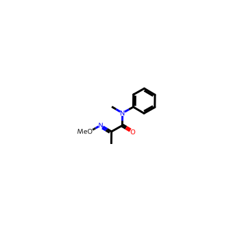 CON=C(C)C(=O)N(C)c1ccccc1